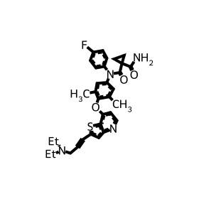 CCN(CC)CC#Cc1cc2nccc(Oc3c(C)cc(N(C(=O)C4(C(N)=O)CC4)c4ccc(F)cc4)cc3C)c2s1